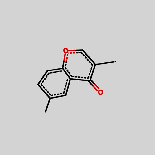 [CH2]c1coc2ccc(C)cc2c1=O